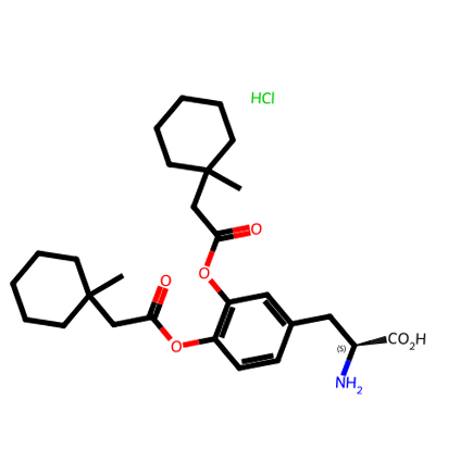 CC1(CC(=O)Oc2ccc(C[C@H](N)C(=O)O)cc2OC(=O)CC2(C)CCCCC2)CCCCC1.Cl